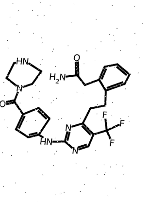 NC(=O)Cc1ccccc1CCc1nc(Nc2ccc(C(=O)N3CCNCC3)cc2)ncc1C(F)(F)F